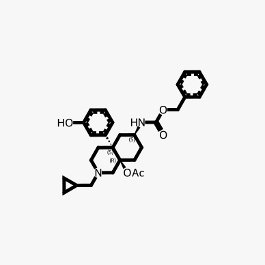 CC(=O)O[C@]12CC[C@H](NC(=O)OCc3ccccc3)C[C@]1(c1cccc(O)c1)CCN(CC1CC1)C2